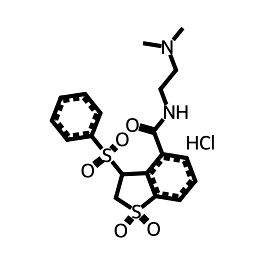 CN(C)CCNC(=O)c1cccc2c1C(S(=O)(=O)c1ccccc1)CS2(=O)=O.Cl